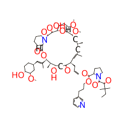 C=CC[C@@H]1/C=C(\C)C[C@H](C)C[C@H](OC)[C@H]2O[C@@](O)(C(=O)C(=O)N3CCCC[C@H]3C(=O)O[C@H](/C(C)=C/[C@@H]3CC[C@@H](O)[C@H](OC)C3)[C@H](C)[C@@H](O)CC1=O)[C@H](C)C[C@@H]2OC.CCC(C)(C)C(=O)C(=O)N1CCCC1C(=O)OCCCc1cccnc1